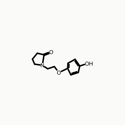 O=C1CCCN1CCOc1ccc(O)cc1